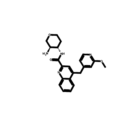 COc1cc(Cc2cc(C(=O)N[C@H]3CCOC[C@@H]3N)nc3ccccc23)ccn1